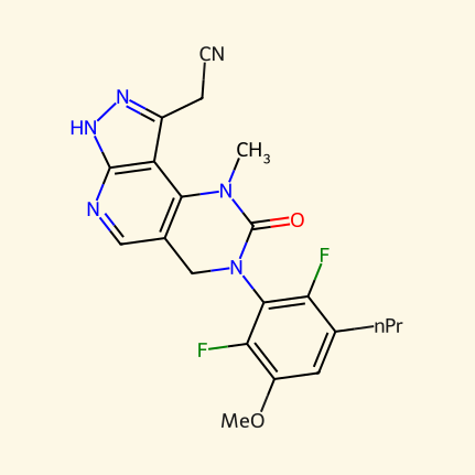 CCCc1cc(OC)c(F)c(N2Cc3cnc4[nH]nc(CC#N)c4c3N(C)C2=O)c1F